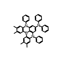 Cc1cc2c(cc1C)N(c1ccccc1)c1cc(N(c3ccccc3)c3ccccc3)cc3c1B2c1cc(C)c(C)cc1N3c1ccccc1